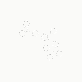 c1ccc(-c2nc(-c3ccc(-n4c5ccccc5c5ccccc54)cc3)nc(-c3cccc([Si](c4ccccc4)(c4ccccc4)c4ccccc4)c3)n2)cc1